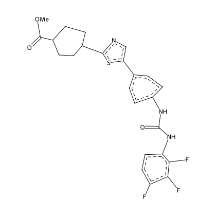 COC(=O)C1CCC(c2ncc(-c3ccc(NC(=O)Nc4ccc(F)c(F)c4F)cc3)s2)CC1